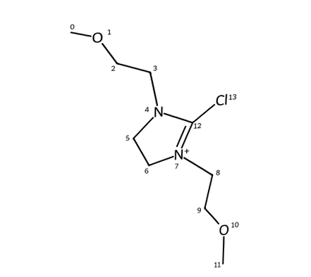 COCCN1CC[N+](CCOC)=C1Cl